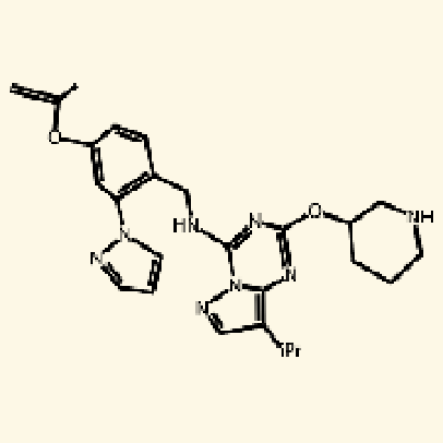 C=C(C)Oc1ccc(CNc2nc(OC3CCCNC3)nc3c(C(C)C)cnn23)c(-n2cccn2)c1